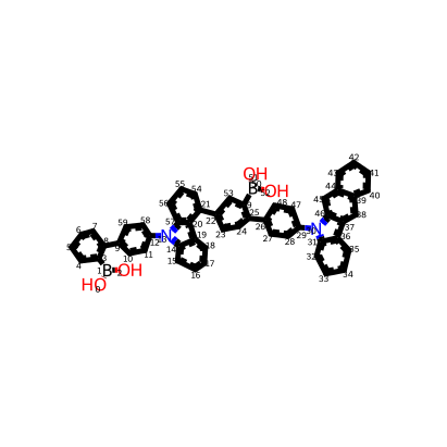 OB(O)c1ccccc1-c1ccc(-n2c3ccccc3c3c(-c4ccc(-c5ccc(-n6c7ccccc7c7cc8ccccc8cc76)cc5)c(B(O)O)c4)cccc32)cc1